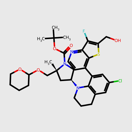 CC(C)(C)OC(=O)N1C[C@@H](N2CCCc3cc(Cl)cc(-c4ccnc5c(F)c(CO)sc45)c32)C[C@]1(C)COC1CCCCO1